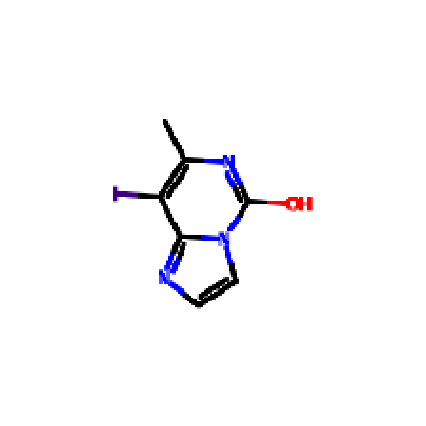 Cc1nc(O)n2ccnc2c1I